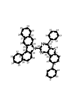 c1ccc(-c2ccc3sc4c(-c5ccccc5)nc(-n5c6cc7ccccc7cc6c6c7ccccc7ccc65)nc4c3c2)cc1